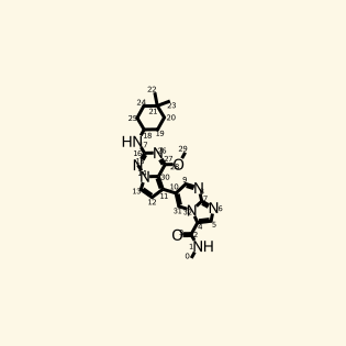 CNC(=O)c1cnc2ncc(-c3ccn4nc(NC5CCC(C)(C)CC5)nc(OC)c34)cn12